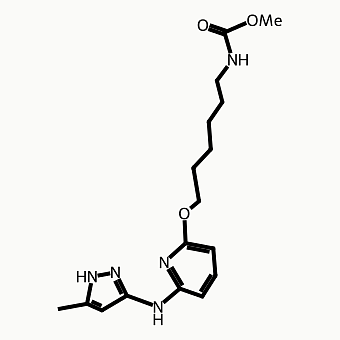 COC(=O)NCCCCCCOc1cccc(Nc2cc(C)[nH]n2)n1